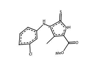 COC(=O)c1[nH]c(=S)n(Nc2cccc(Cl)c2)c1C